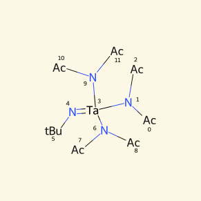 CC(=O)[N](C(C)=O)[Ta](=[N]C(C)(C)C)([N](C(C)=O)C(C)=O)[N](C(C)=O)C(C)=O